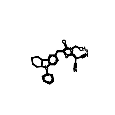 CCn1c(=C(C#N)C#N)s/c(=C\c2ccc3c(c2)C2CCCCC2N3c2ccccc2)c1=O